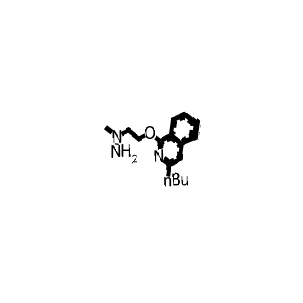 CCCCc1cc2ccccc2c(OCCN(C)N)n1